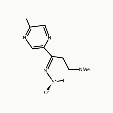 CNCC/C(=N\[S@+]([O-])I)c1cnc(C)cn1